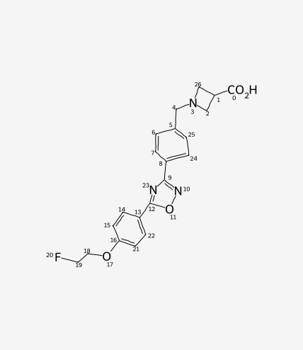 O=C(O)C1CN(Cc2ccc(-c3noc(-c4ccc(OCCF)cc4)n3)cc2)C1